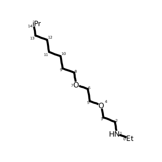 CCNCCOCCOCCCCCCC(C)C